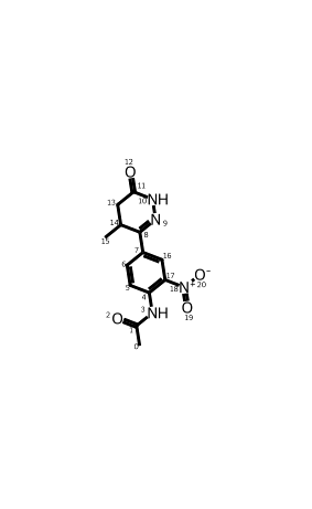 CC(=O)Nc1ccc(C2=NNC(=O)CC2C)cc1[N+](=O)[O-]